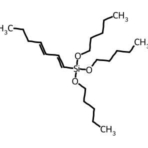 CCCC=CC=C[Si](OCCCCC)(OCCCCC)OCCCCC